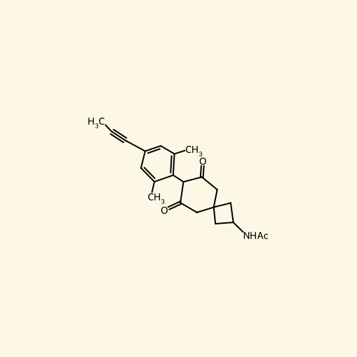 CC#Cc1cc(C)c(C2C(=O)CC3(CC2=O)CC(NC(C)=O)C3)c(C)c1